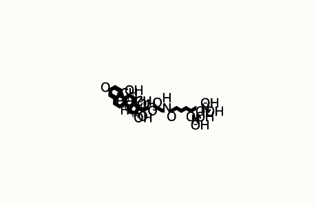 C[C@]12C=CC(=O)C=C1CC[C@H]1[C@@H]3C[C@@H](O)[C@](O)(C(=O)COC(=O)CNC(=O)CCCC(CON(O)O)ON(O)O)[C@@]3(C)C[C@H](O)[C@@]12F